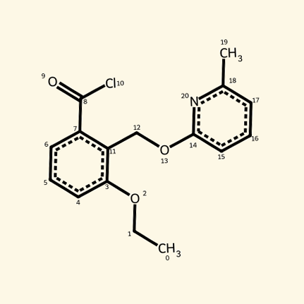 CCOc1cccc(C(=O)Cl)c1COc1cccc(C)n1